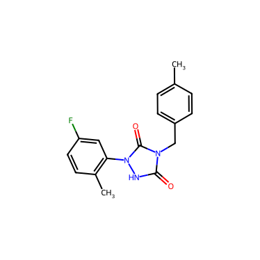 Cc1ccc(Cn2c(=O)[nH]n(-c3cc(F)ccc3C)c2=O)cc1